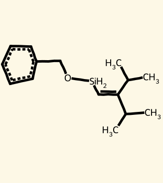 CC(C)C(=C[SiH2]OCc1ccccc1)C(C)C